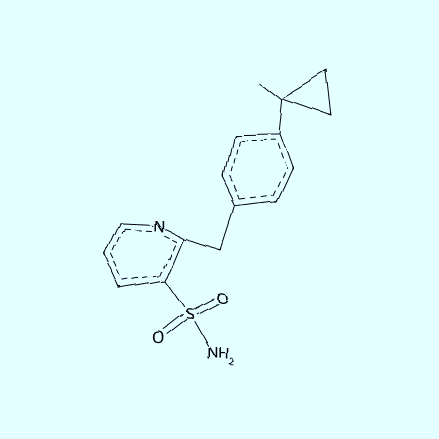 CC1(c2ccc(Cc3ncccc3S(N)(=O)=O)cc2)CC1